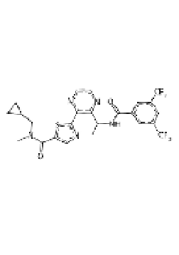 CC(NC(=O)c1cc(C(F)(F)F)cc(C(F)(F)F)c1)c1nccnc1-c1ncc(C(=O)N(C)CC2CC2)s1